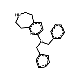 c1ccc(CN(Cc2ccccc2)c2ccc3c(n2)CCNCC3)cc1